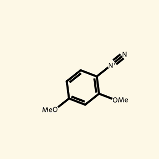 COc1ccc([N+]#N)c(OC)c1